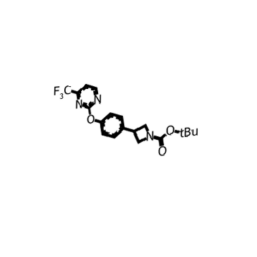 CC(C)(C)OC(=O)N1CC(c2ccc(Oc3nccc(C(F)(F)F)n3)cc2)C1